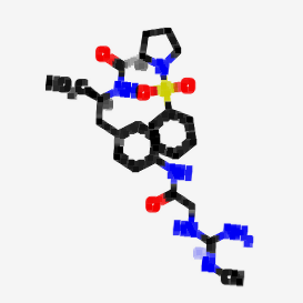 N#C/N=C(\N)NCC(=O)Nc1ccc(C[C@H](NC(=O)[C@@H]2CCCN2S(=O)(=O)c2ccccc2)C(=O)O)cc1